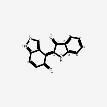 O=C1C=Cc2nocc2C1=C1Nc2ccccc2C1=O